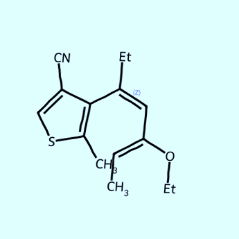 CC=C(/C=C(/CC)c1c(C#N)csc1C)OCC